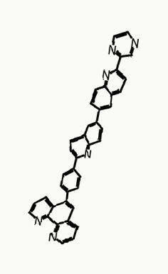 c1cnc2c(c1)cc(-c1ccc(-c3ccc4cc(-c5ccc6nc(-c7cnccn7)ccc6c5)ccc4n3)cc1)c1cccnc12